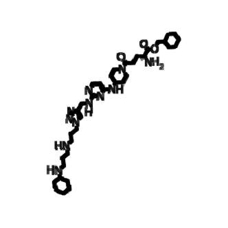 N[C@@H](CCC(=O)N1CCC(Nc2ccnc(NCc3cn(CCCNCCCNC4CCCCC4)nn3)n2)CC1)C(=O)OCC1CCCCC1